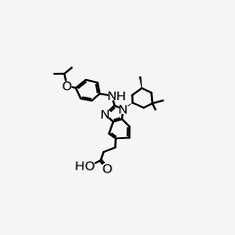 CC(C)Oc1ccc(Nc2nc3cc(CCC(=O)O)ccc3n2[C@@H]2C[C@@H](C)CC(C)(C)C2)cc1